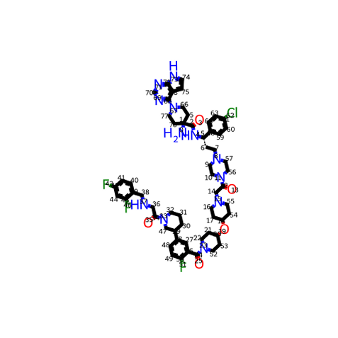 NC1(C(=O)N[C@@H](CCN2CCN(C(=O)CN3CCC(OC4CCN(C(=O)c5cc(C6CCCN(C(=O)CNCc7ccc(F)cc7F)C6)ccc5F)CC4)CC3)CC2)c2ccc(Cl)cc2)CCN(c2ncnc3[nH]ccc23)CC1